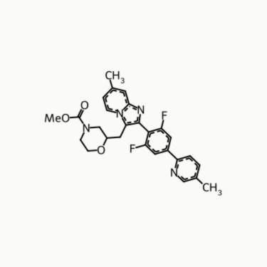 COC(=O)N1CCOC(Cc2c(-c3c(F)cc(-c4ccc(C)cn4)cc3F)nc3cc(C)ccn23)C1